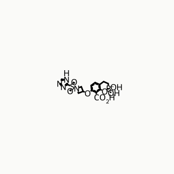 O=C(O)c1c(OC2CN(S(=O)(=O)c3nnc[nH]3)C2)ccc2c1O[B-](O)(O)CC2